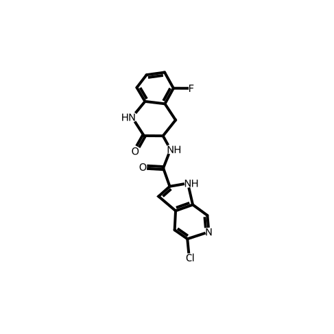 O=C(NC1Cc2c(F)cccc2NC1=O)c1cc2cc(Cl)ncc2[nH]1